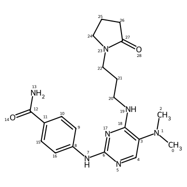 CN(C)c1cnc(Nc2ccc(C(N)=O)cc2)nc1NCCCN1CCCC1=O